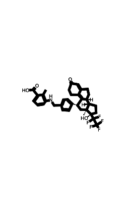 Cc1c(NCc2ccc([C@H]3C[C@@]4(C)[C@@H](CC[C@@]4(O)C(F)(F)C(F)(F)F)[C@@H]4CCC5=CC(=O)CCC5=C43)cc2)cccc1C(=O)O